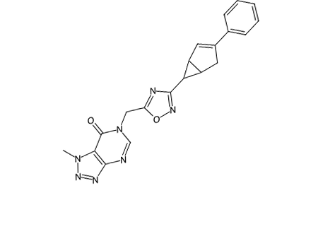 Cn1nnc2ncn(Cc3nc(C4C5C=C(c6ccccc6)CC54)no3)c(=O)c21